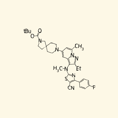 CCc1nn2c(C)cc(N3CCC4(CCN(C(=O)OC(C)(C)C)C4)CC3)cc2c1N(C)c1nc(-c2ccc(F)cc2)c(C#N)s1